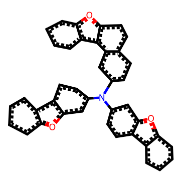 c1ccc2c(c1)oc1cc(N(c3ccc4c(c3)oc3ccccc34)c3ccc4ccc5oc6ccccc6c5c4c3)ccc12